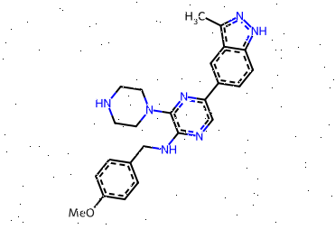 COc1ccc(CNc2ncc(-c3ccc4[nH]nc(C)c4c3)nc2N2CCNCC2)cc1